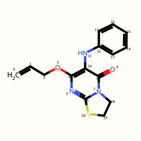 C=CCOc1nc2n(c(=O)c1Nc1ccccc1)CCS2